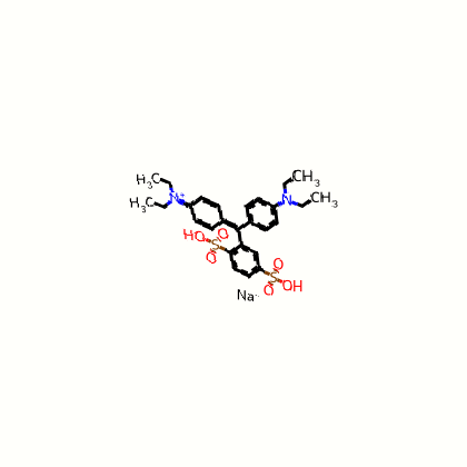 CCN(CC)c1ccc(C(=C2C=CC(=[N+](CC)CC)C=C2)c2cc(S(=O)(=O)O)ccc2S(=O)(=O)O)cc1.[Na+]